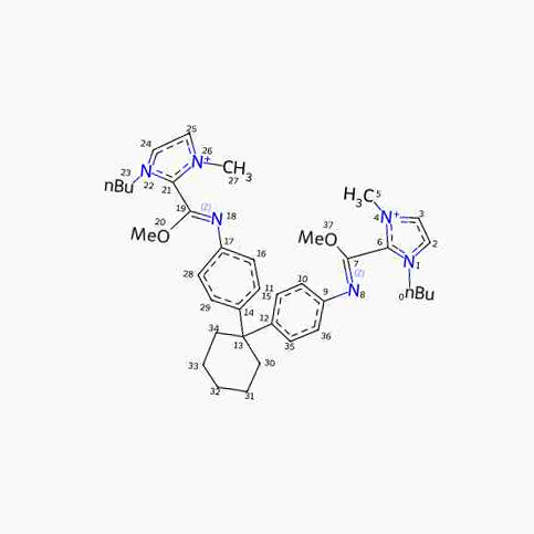 CCCCn1cc[n+](C)c1/C(=N/c1ccc(C2(c3ccc(/N=C(\OC)c4n(CCCC)cc[n+]4C)cc3)CCCCC2)cc1)OC